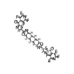 O=C(c1ncc(-c2nc3cc4cc5cc6oc(-c7cnc(C(=O)c8c(F)c(F)nc(F)c8F)s7)nc6cc5cc4cc3o2)s1)c1c(F)c(F)nc(F)c1F